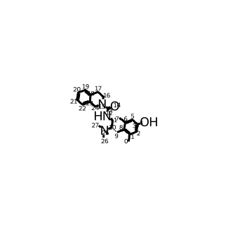 Cc1cc(O)cc(C)c1C[C@@H](CNC(=O)N1CCc2ccccc2C1)N(C)C